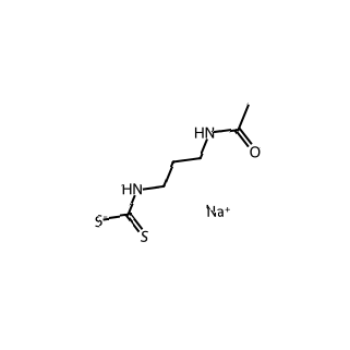 CC(=O)NCCCNC(=S)[S-].[Na+]